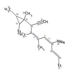 C#CC(/C(C)=C(C)\C=C(/C=CCC)NC)C1(C)C(C)C1CC